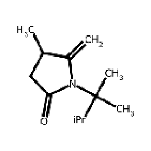 C=C1C(C)CC(=O)N1C(C)(C)C(C)C